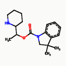 CC(OC(=O)N1CC(C)(C)c2ccccc21)C1CCCCN1